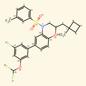 O=C(O)C1(CC2CN(S(=O)(=O)c3cccc(C(F)(F)F)c3)c3cc(-c4cc(F)cc(OC(F)F)c4)ccc3O2)CCC1